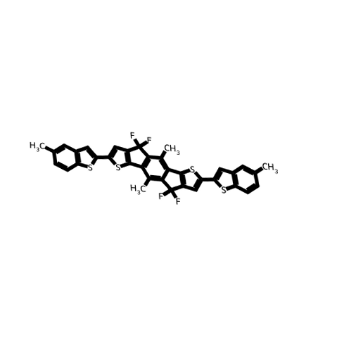 Cc1ccc2sc(-c3cc4c(s3)-c3c(C)c5c(c(C)c3C4(F)F)-c3sc(-c4cc6cc(C)ccc6s4)cc3C5(F)F)cc2c1